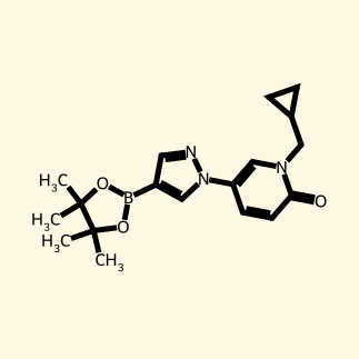 CC1(C)OB(c2cnn(-c3ccc(=O)n(CC4CC4)c3)c2)OC1(C)C